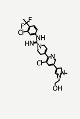 CN1CC(c2cnc(C3=CCN(C(=N)Nc4ccc(C(C)(F)F)c(Cl)c4)CC3)c(Cl)c2)=CN1CCO